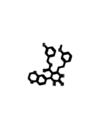 COc1cccc(CCC2=C(C(=O)OCc3cccc(F)c3)C(c3ccc4c(c3)OCCO4)NC(=O)N2)c1